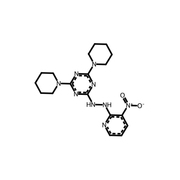 O=[N+]([O-])c1cccnc1NNc1nc(N2CCCCC2)nc(N2CCCCC2)n1